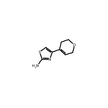 Nc1nc(C2=CCOCC2)cs1